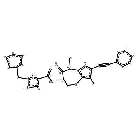 Cc1c(C#Cc2cccnc2)sc2c1SC[C@H](NC(=O)c1nnc(Cc3ccccc3)[nH]1)C(=O)N2C